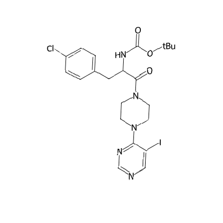 CC(C)(C)OC(=O)NC(Cc1ccc(Cl)cc1)C(=O)N1CCN(c2ncncc2I)CC1